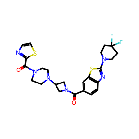 O=C(c1ccc2nc(N3CCC(F)(F)CC3)sc2c1)N1CC(N2CCN(C(=O)c3nccs3)CC2)C1